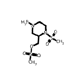 CS(=O)(=O)OCC1CN(P)CCN1S(C)(=O)=O